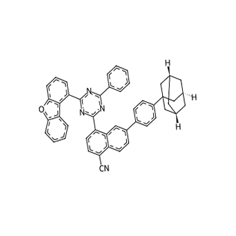 N#Cc1ccc(-c2nc(-c3ccccc3)nc(-c3cccc4oc5ccccc5c34)n2)c2cc(-c3ccc(C45C[C@H]6C[C@@H](C4)C[C@@H](C5)C6)cc3)ccc12